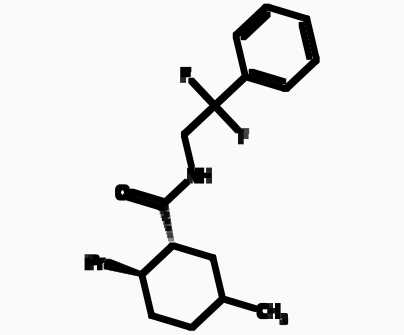 CC1CC[C@@H](C(C)C)[C@H](C(=O)NCC(F)(F)c2ccccc2)C1